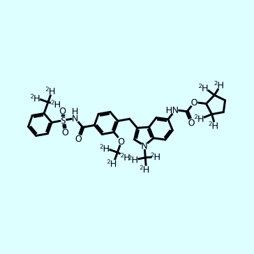 [2H]C([2H])([2H])Oc1cc(C(=O)NS(=O)(=O)c2ccccc2C([2H])([2H])[2H])ccc1Cc1cn(C([2H])([2H])[2H])c2ccc(NC(=O)OC3C([2H])([2H])CCC3([2H])[2H])cc12